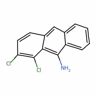 Nc1c2ccccc2cc2ccc(Cl)c(Cl)c12